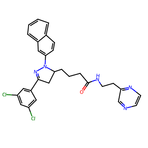 O=C(CCCC1CC(c2cc(Cl)cc(Cl)c2)=NN1c1ccc2ccccc2c1)NCCc1cnccn1